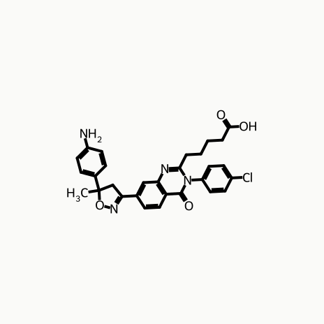 CC1(c2ccc(N)cc2)CC(c2ccc3c(=O)n(-c4ccc(Cl)cc4)c(CCCCC(=O)O)nc3c2)=NO1